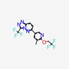 Cc1cc(-c2ccc3nnc(C(F)(F)F)n3n2)cnc1OCC(F)(F)F